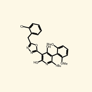 CCCCc1nc(O)c(-c2nnc(Cc3ccccc3Cl)o2)c(O)c1-c1c(OC)cccc1OC